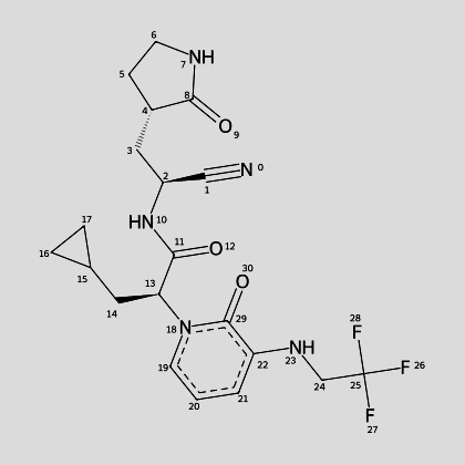 N#C[C@H](C[C@@H]1CCNC1=O)NC(=O)[C@H](CC1CC1)n1cccc(NCC(F)(F)F)c1=O